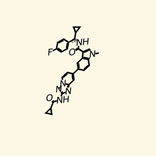 Cn1cc(C(=O)N[C@H](c2ccc(F)cc2)C2CC2)c2cc(-c3ccn4nc(NC(=O)C5CC5)nc4c3)ccc21